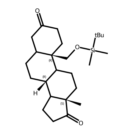 CC(C)(C)[Si](C)(C)OC[C@]12CCC(=O)CC1CC[C@@H]1C2CC[C@]2(C)C(=O)CCC12